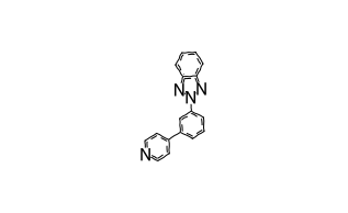 c1cc(-c2ccncc2)cc(-n2nc3ccccc3n2)c1